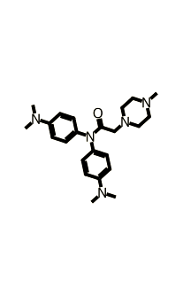 CN1CCN(CC(=O)N(c2ccc(N(C)C)cc2)c2ccc(N(C)C)cc2)CC1